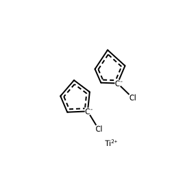 Cl[c-]1cccc1.Cl[c-]1cccc1.[Ti+2]